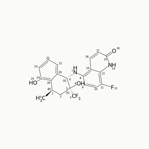 C[C@@H]1C[C@@](O)(C(F)(F)F)[C@@H](Nc2ccc(F)c3[nH]c(=O)ccc23)c2cccc(O)c21